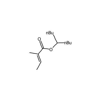 CC=C(C)C(=O)OC(CCCC)CCCC